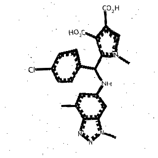 Cc1cc(NC(c2ccc(Cl)cc2)c2c(C(=O)O)c(C(=O)O)cn2C)cc2c1nnn2C